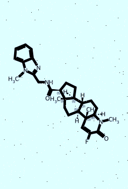 CN1C(=O)C(F)=C[C@]2(C)[C@H]3CC[C@]4(C)[C@@H](C(=O)NCc5nc6ccccc6n5C)CC[C@H]4[C@@H]3CC[C@@H]12